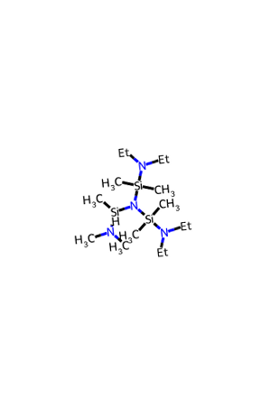 CCN(CC)[Si](C)(C)N([SiH](C)N(C)C)[Si](C)(C)N(CC)CC